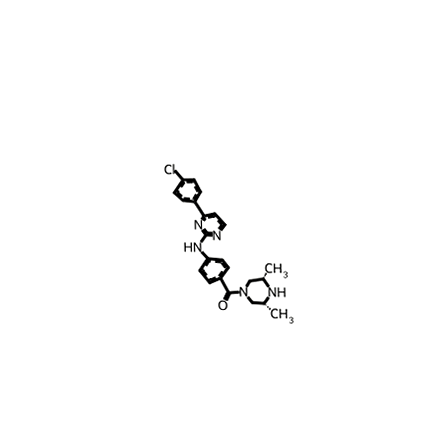 C[C@@H]1CN(C(=O)c2ccc(Nc3nccc(-c4ccc(Cl)cc4)n3)cc2)C[C@H](C)N1